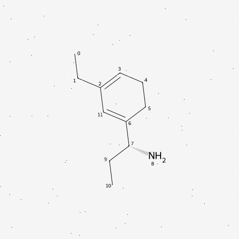 CCC1=CCCC([C@H](N)CC)=C1